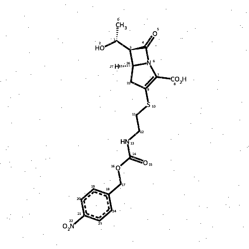 C[C@@H](O)[C@H]1C(=O)N2C(C(=O)O)=C(SCCNC(=O)OCc3ccc([N+](=O)[O-])cc3)C[C@@H]12